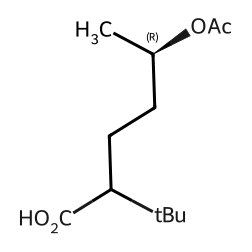 CC(=O)O[C@H](C)CCC(C(=O)O)C(C)(C)C